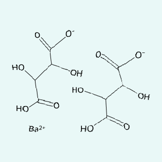 O=C([O-])C(O)C(O)C(=O)O.O=C([O-])C(O)C(O)C(=O)O.[Ba+2]